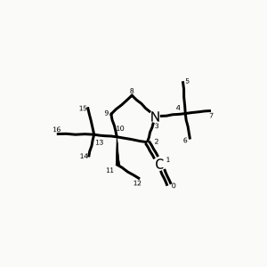 C=C=C1N(C(C)(C)C)CC[C@@]1(CC)C(C)(C)C